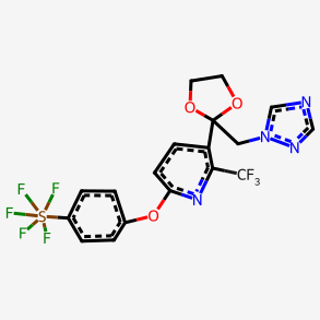 FC(F)(F)c1nc(Oc2ccc(S(F)(F)(F)(F)F)cc2)ccc1C1(Cn2cncn2)OCCO1